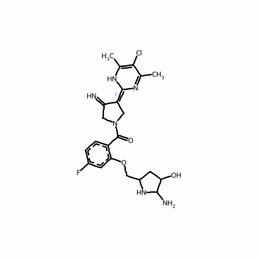 CC1=N/C(=C2\CN(C(=O)c3ccc(F)cc3OCC3CC(O)C(N)N3)CC2=N)NC(C)=C1Cl